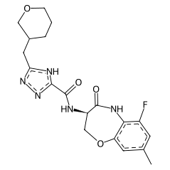 Cc1cc(F)c2c(c1)OC[C@@H](NC(=O)c1nnc(CC3CCCOC3)[nH]1)C(=O)N2